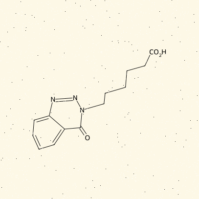 O=C(O)CCCCCn1nnc2ccccc2c1=O